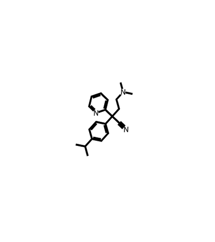 CC(C)c1ccc(C(C#N)(CCN(C)C)c2ccccn2)cc1